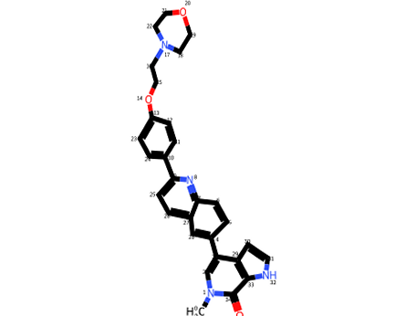 Cn1cc(-c2ccc3nc(-c4ccc(OCCN5CCOCC5)cc4)ccc3c2)c2cc[nH]c2c1=O